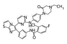 CCN1CCN(c2ccc(Nc3nccc(-c4c(-c5cccc(NC(=O)c6ccc(F)cc6Cl)c5)nc5sccn45)n3)cc2)C(=O)C1